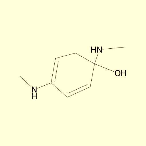 CNC1=CCC(O)(NC)C=C1